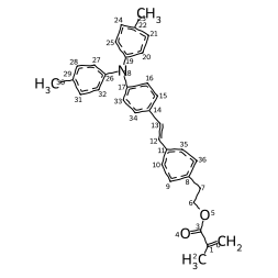 C=C(C)C(=O)OCCc1ccc(C=Cc2ccc(N(c3ccc(C)cc3)c3ccc(C)cc3)cc2)cc1